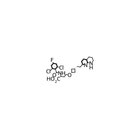 O=C(N[C@@H](CCO[C@H]1C[C@@H](CCc2ccc3c(n2)NCCC3)C1)C(=O)O)c1c(Cl)cc(F)cc1Cl